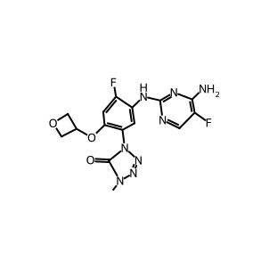 Cn1nnn(-c2cc(Nc3ncc(F)c(N)n3)c(F)cc2OC2COC2)c1=O